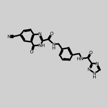 N#Cc1ccc2nc(C(=O)NCc3cccc(CNC(=O)c4nc[nH]n4)c3)[nH]c(=O)c2c1